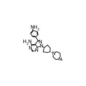 CN1CCN([C@H]2CC[C@H](n3nc(-c4ccc(N)cc4)c4c(N)ncnc43)CC2)CC1